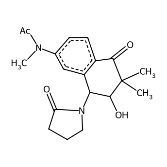 CC(=O)N(C)c1ccc2c(c1)C(N1CCCC1=O)C(O)C(C)(C)C2=O